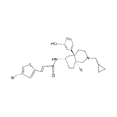 O=C(/C=C/c1cc(Br)cs1)N[C@H]1CC[C@@H]2CN(CC3CC3)CC[C@@]2(c2cccc(O)c2)C1